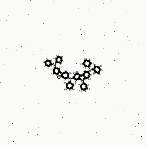 c1ccc(N(c2ccccc2)c2ccc3oc4cc(N(c5ccccc5)c5ccc6c7cc(N(c8ccccc8)c8ccccc8)ccc7n(-c7ccccc7)c6c5)ccc4c3c2)cc1